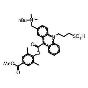 CCCC[N+](C)(C)Cc1ccc2c(c1)c(C(=O)Oc1c(C)cc(C(=O)OC)cc1C)c1ccccc1[n+]2CCCS(=O)(=O)O